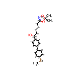 CSc1ccc(-c2ccc([C@H](O)CCCCC3=NOC(C)(C)O3)cc2)cc1